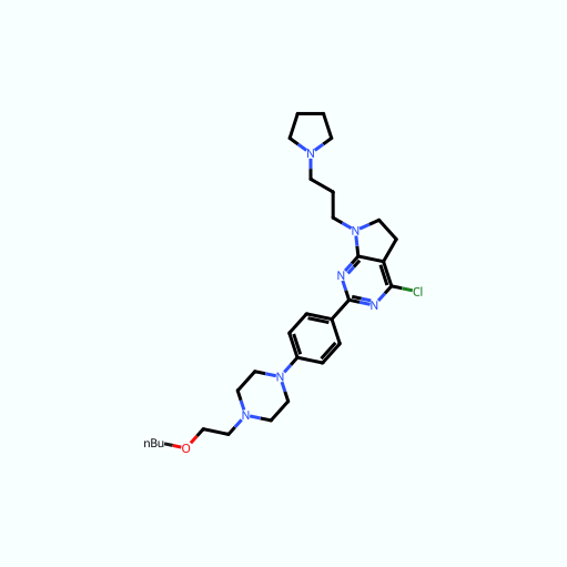 CCCCOCCN1CCN(c2ccc(-c3nc(Cl)c4c(n3)N(CCCN3CCCC3)CC4)cc2)CC1